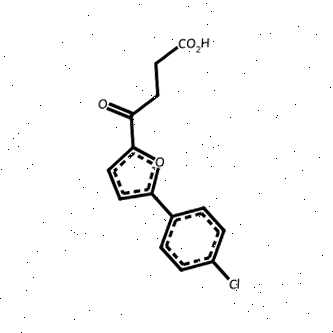 O=C(O)CCC(=O)c1ccc(-c2ccc(Cl)cc2)o1